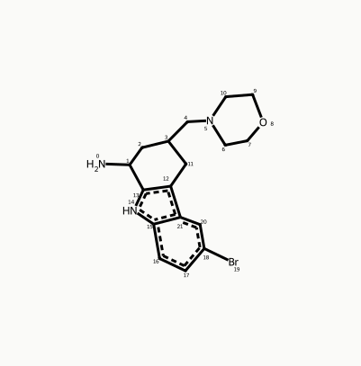 NC1CC(CN2CCOCC2)Cc2c1[nH]c1ccc(Br)cc21